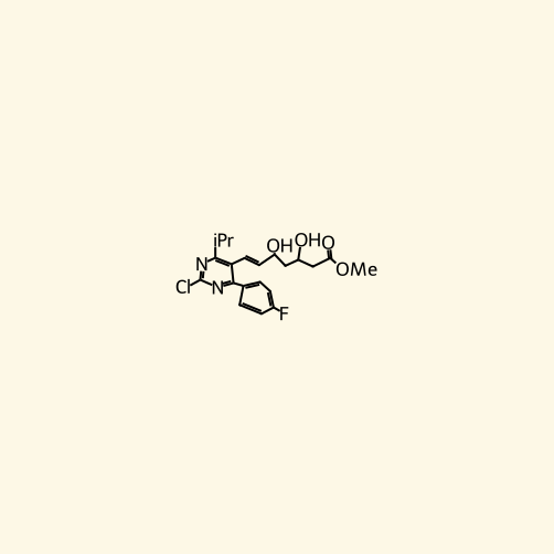 COC(=O)CC(O)CC(O)C=Cc1c(-c2ccc(F)cc2)nc(Cl)nc1C(C)C